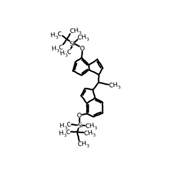 CC(C1C=Cc2c(O[Si](C)(C)C(C)(C)C)cccc21)C1C=Cc2c(O[Si](C)(C)C(C)(C)C)cccc21